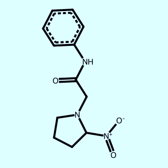 O=C(CN1CCCC1[N+](=O)[O-])Nc1ccccc1